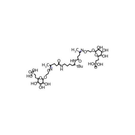 C/C(CCC(=O)N[C@@H](CCCCNC(=O)CC/C(C)=N/OCCO[C@H]1O[C@H](CCP(=O)(O)O)[C@@H](O)[C@H](O)[C@@H]1O)C(C)(C)C)=N/OCCO[C@H]1O[C@H](CCP(=O)(O)O)[C@@H](O)[C@H](O)[C@@H]1O